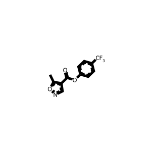 Cc1oncc1C(=O)Oc1ccc(C(F)(F)F)cc1